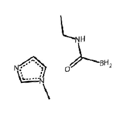 BC(=O)NCC.Cn1ccnc1